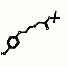 CC(C)(C)OC(=O)COCCOc1ccc(O)cc1